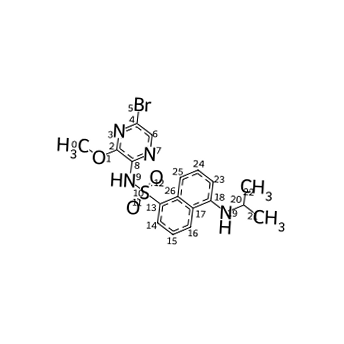 COc1nc(Br)cnc1NS(=O)(=O)c1cccc2c(NC(C)C)cccc12